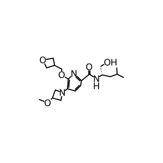 COC1CN(c2ccc(C(=O)N[C@H](CO)CC(C)C)nc2OCC2COC2)C1